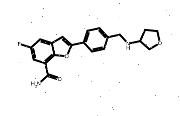 NC(=O)c1cc(F)cc2cc(-c3ccc(CNC4CCOC4)cc3)oc12